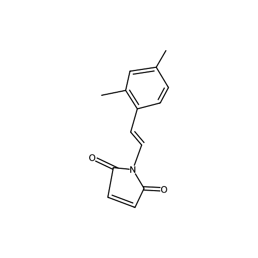 Cc1ccc(C=CN2C(=O)C=CC2=O)c(C)c1